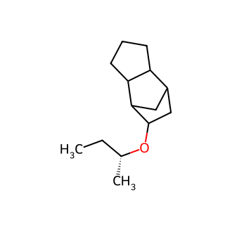 CC[C@@H](C)OC1CC2CC1C1CCCC21